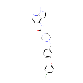 O=C(Nc1ccnc2[nH]ccc12)N1CCN(Cc2cccc(Oc3ccc(Cl)cc3)c2)CC1